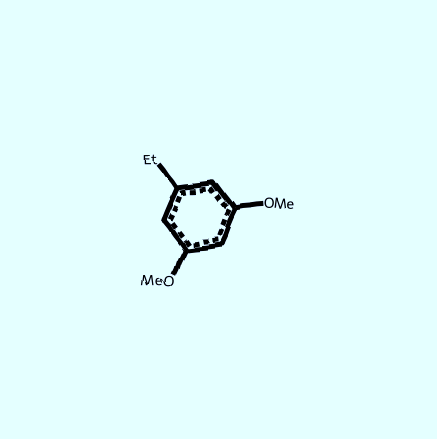 CCc1cc(OC)cc(OC)c1